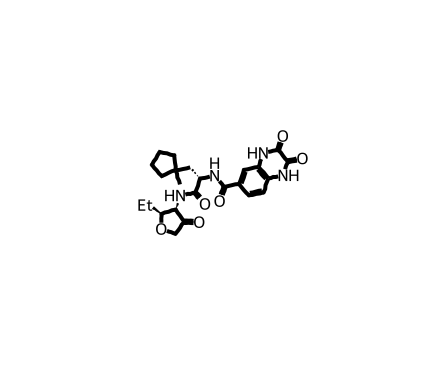 CC[C@@H]1OCC(=O)[C@H]1NC(=O)[C@H](CC1(C)CCCC1)NC(=O)c1ccc2[nH]c(=O)c(=O)[nH]c2c1